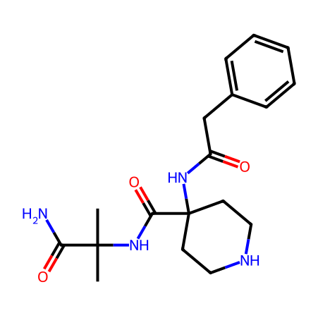 CC(C)(NC(=O)C1(NC(=O)Cc2ccccc2)CCNCC1)C(N)=O